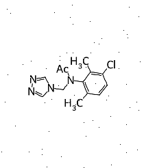 CC(=O)N(Cn1cnnc1)c1c(C)ccc(Cl)c1C